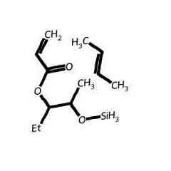 C=CC(=O)OC(CC)C(C)O[SiH3].CC=CC